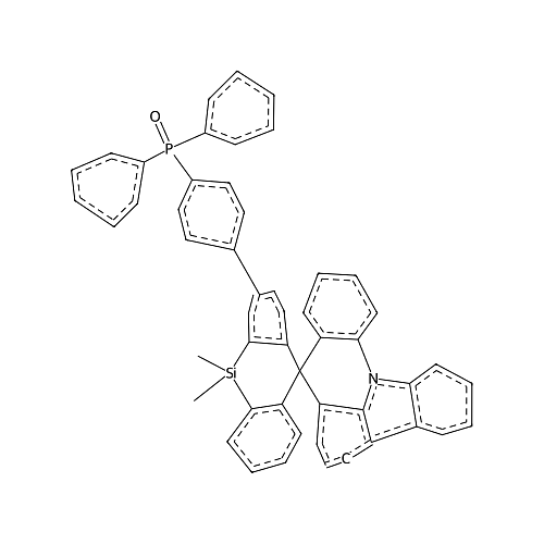 C[Si]1(C)c2ccccc2C2(c3ccccc3-n3c4ccccc4c4cccc2c43)c2ccc(-c3ccc(P(=O)(c4ccccc4)c4ccccc4)cc3)cc21